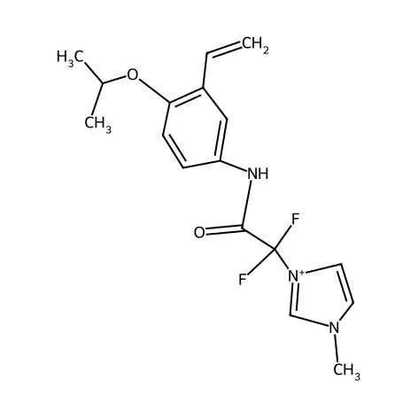 C=Cc1cc(NC(=O)C(F)(F)[n+]2ccn(C)c2)ccc1OC(C)C